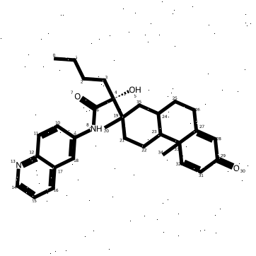 CCCC[C@](O)(C(=O)Nc1ccc2ncccc2c1)C1(C)CCC2C(CCC3=CC(=O)C=CC32C)C1